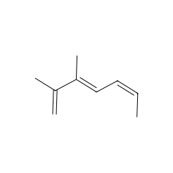 C=C(C)/C(C)=C/C=C\C